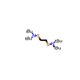 CCC(C)N(SCCSN(C(C)CC)C(C)(C)C)C(C)(C)C